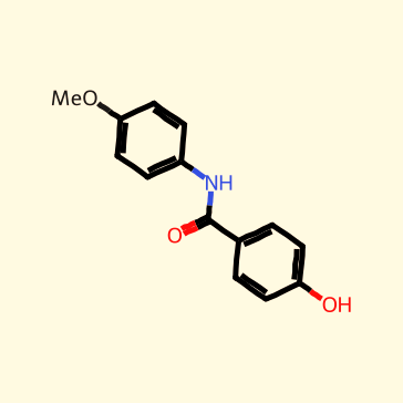 COc1ccc(NC(=O)c2ccc(O)cc2)cc1